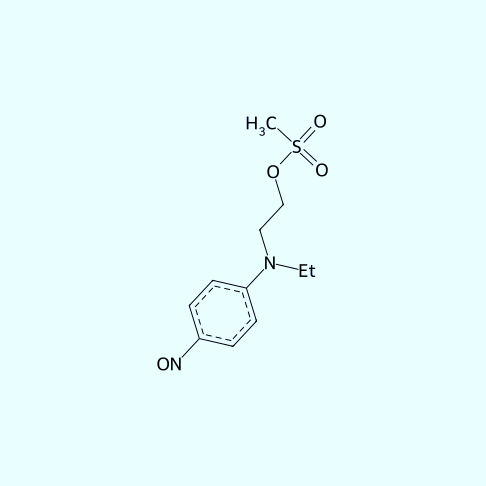 CCN(CCOS(C)(=O)=O)c1ccc(N=O)cc1